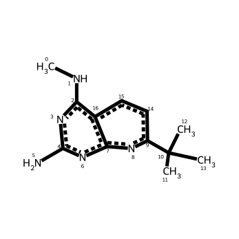 CNc1nc(N)nc2nc(C(C)(C)C)ccc12